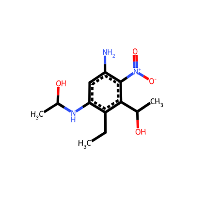 CCc1c(NC(C)O)cc(N)c([N+](=O)[O-])c1C(C)O